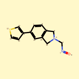 O=NCN1Cc2ccc(-c3ccsc3)cc2C1